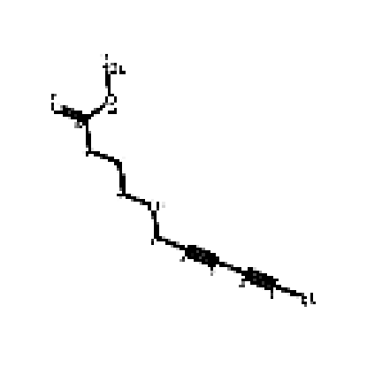 CCC#CC#CCOCCCC(=O)OC(C)(C)C